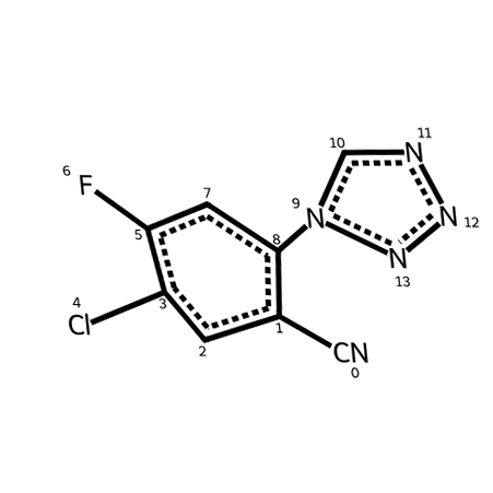 N#Cc1cc(Cl)c(F)cc1-n1cnnn1